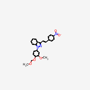 COCOc1ccc(-n2nc(C=Cc3ccc([N+](=O)[O-])cc3)c3ccccc32)cc1OC